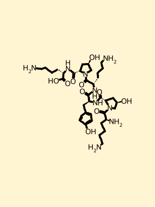 NCCCC[C@H](NC(=O)[C@@H]1C[C@@H](O)CN1C(=O)[C@H](CCCCN)NC(=O)[C@H](Cc1ccc(O)cc1)NC(=O)[C@@H]1C[C@@H](O)CN1C(=O)[C@@H](N)CCCCN)C(=O)O